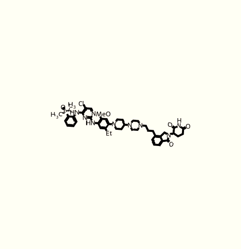 CCc1cc(Nc2ncc(Cl)c(Nc3ccccc3P(C)(C)=O)n2)c(OC)cc1N1CCC(N2CCN(CCCc3cccc4c3CN(C3CCC(=O)NC3=O)C4=O)CC2)CC1